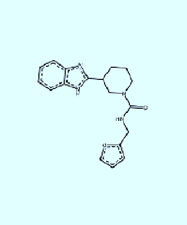 O=C(NCc1ccco1)N1CCCC(c2nc3ccccc3[nH]2)C1